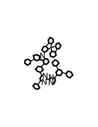 c1ccc(-c2cc(-c3ccccc3)cc(-c3ccnc(-c4nc(-c5ccccc5)cc(-c5cccc(-c6cccc7c6c6cc(-c8ccccc8)ccc6n7-c6ccc7c(c6)C6(c8ccccc8-c8ccccc86)c6ccccc6-7)c5)n4)n3)c2)cc1